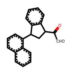 O=CC(=O)C1CC(c2cccc3ccccc23)c2ccccc21